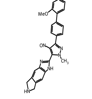 COc1ccccc1-c1ccc(-c2nn(C)c(-c3nc4cc5c(cc4[nH]3)CNC5)c2N=O)cc1